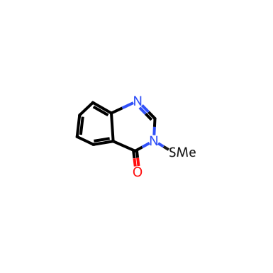 CSn1cnc2ccccc2c1=O